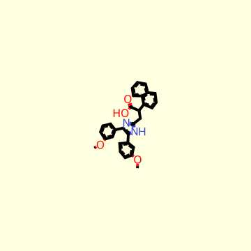 COc1cccc(-c2nc(CC(C(=O)O)c3cccc4ccccc34)[nH]c2-c2cccc(OC)c2)c1